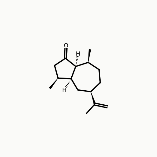 C=C(C)[C@@H]1CC[C@H](C)[C@@H]2C(=O)C[C@H](C)[C@@H]2C1